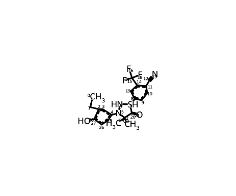 CCc1cc(N2N[SH](c3ccc(C#N)c(C(F)(F)F)c3)C(=O)C2(C)C)ccc1O